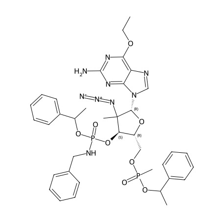 CCOc1nc(N)nc2c1ncn2[C@@H]1O[C@H](COP(C)(=O)OC(C)c2ccccc2)[C@@H](OP(=O)(NCc2ccccc2)OC(C)c2ccccc2)C1(C)N=[N+]=[N-]